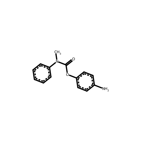 CN(C(=O)Oc1ccc(N)cc1)c1ccccc1